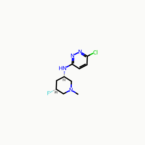 CN1C[C@H](F)C[C@H](Nc2ccc(Cl)nn2)C1